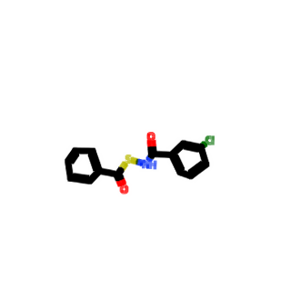 O=C(NSC(=O)c1ccccc1)c1cccc(Cl)c1